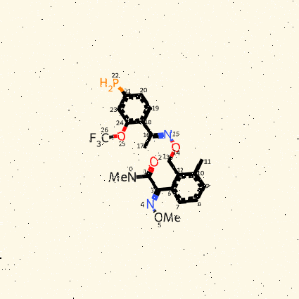 CNC(=O)/C(=N/OC)c1cccc(C)c1CO/N=C(\C)c1ccc(P)cc1OC(F)(F)F